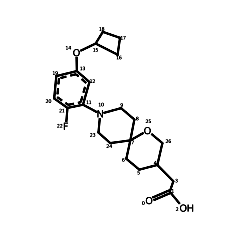 O=C(O)CC1CCC2(CCN(c3cc(OC4CCC4)ccc3F)CC2)OC1